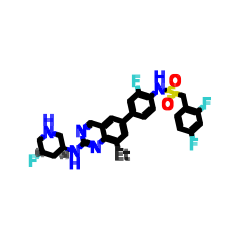 CCc1cc(-c2ccc(NS(=O)(=O)Cc3ccc(F)cc3F)c(F)c2)cc2cnc(N[C@@H]3CNC[C@@H](F)C3)nc12